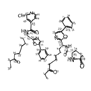 CCC(=O)CCCCC[C@H](NC(=O)[C@@H]1CSC(=O)N1)c1ncc(-c2ccccc2)o1.CCC(=O)CCCCC[C@H](NC(=O)c1ccnc(Cl)c1)c1ncc(-c2ccccc2)o1